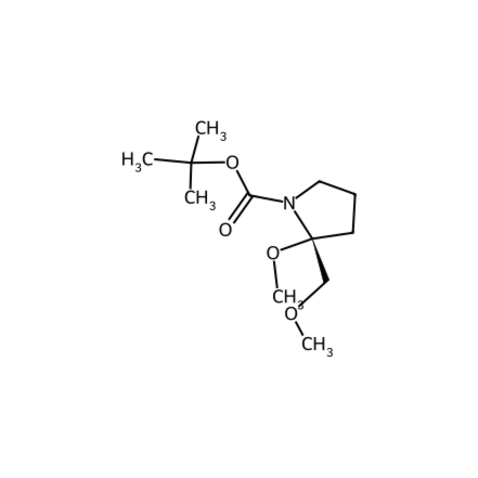 COC[C@]1(OC)CCCN1C(=O)OC(C)(C)C